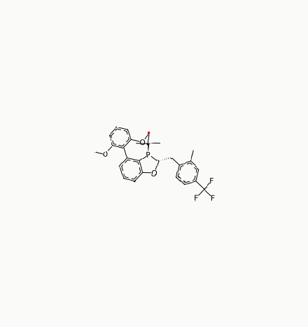 COc1cccc(OC)c1-c1cccc2c1[P@@](C(C)(C)C)[C@H](Cc1ccc(C(F)(F)F)cc1C)O2